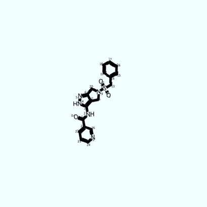 O=C(Nc1[nH]nc2c1CN(S(=O)(=O)Cc1ccccc1)C2)c1cccnc1